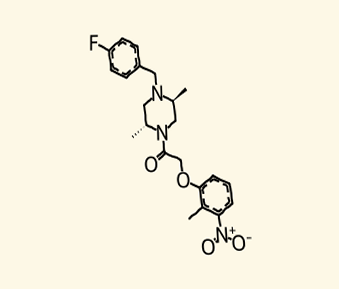 Cc1c(OCC(=O)N2C[C@H](C)N(Cc3ccc(F)cc3)C[C@H]2C)cccc1[N+](=O)[O-]